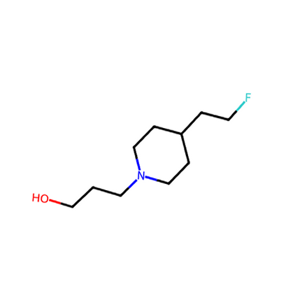 OCCCN1CCC(CCF)CC1